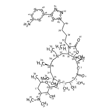 CC[C@H]1OC(=O)[C@H](C)C(O)[C@H](C)[C@@H](O[C@@H]2OC(C)CC(N(C)C)C2O)[C@](C)(OC)C[C@@H](C)CN(C)[C@H](C)[C@H]2N(CCCCn3cc(-c4cccc(N)c4)nn3)C(=O)O[C@]12C